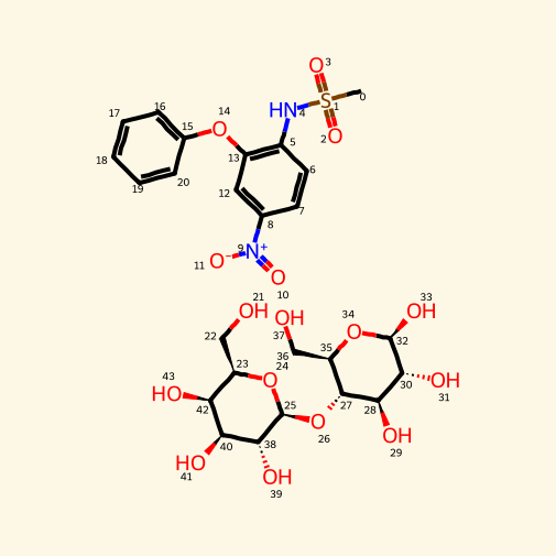 CS(=O)(=O)Nc1ccc([N+](=O)[O-])cc1Oc1ccccc1.OC[C@H]1O[C@@H](O[C@H]2[C@H](O)[C@@H](O)[C@H](O)O[C@@H]2CO)[C@H](O)[C@@H](O)[C@H]1O